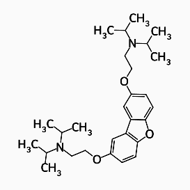 CC(C)N(CCOc1ccc2oc3ccc(OCCN(C(C)C)C(C)C)cc3c2c1)C(C)C